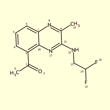 CC(=O)c1cccc2nc(C)c(NCC(F)F)nc12